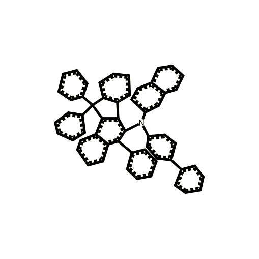 c1ccc(-c2ccc(N(c3ccc4ccccc4c3)c3c4c(c5ccccc5c3-c3ccccc3)C(c3ccccc3)(c3ccccc3)c3ccccc3-4)cc2)cc1